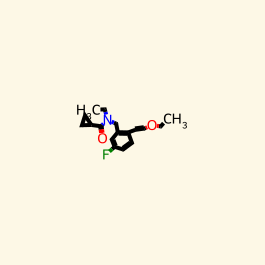 CCOC=Cc1ccc(F)cc1CN(CC)C(=O)C1CC1